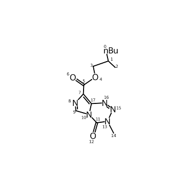 CCCCC(C)COC(=O)c1ncn2c(=O)n(C)nnc12